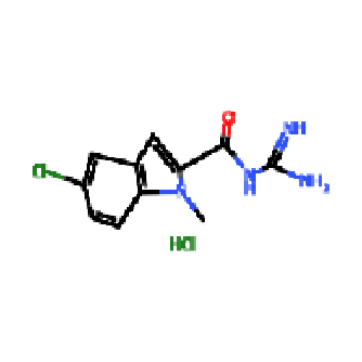 Cl.Cn1c(C(=O)NC(=N)N)cc2cc(Cl)ccc21